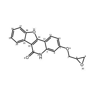 O=c1[nH]c2cc(OCC3CO3)ccc2c2oc3ccccc3c12